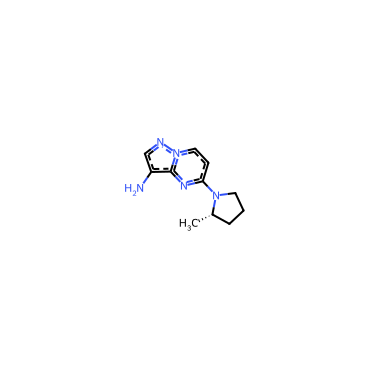 C[C@H]1CCCN1c1ccn2ncc(N)c2n1